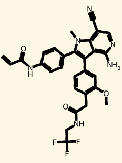 C=CC(=O)Nc1ccc(-c2c(-c3ccc(CC(=O)NCC(F)(F)F)c(OC)c3)c3c(N)ncc(C#N)c3n2C)cc1